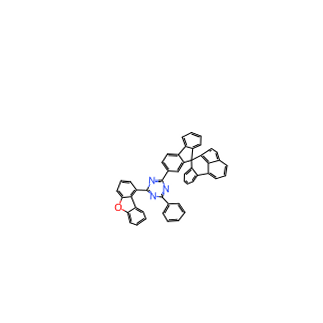 c1ccc(-c2nc(-c3ccc4c(c3)C3(c5ccccc5-4)c4ccccc4-c4cccc5cccc3c45)nc(-c3cccc4oc5ccccc5c34)n2)cc1